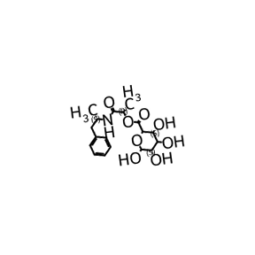 C[C@@H](Cc1ccccc1)NC(=O)[C@@H](C)OC(=O)C1OC(O)[C@@H](O)C(O)[C@@H]1O